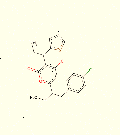 CCC(Cc1ccc(Cl)cc1)c1cc(O)c(C(CC)c2cccs2)c(=O)o1